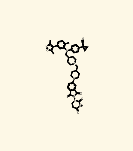 Cc1ccc(-c2c(C)noc2C)cc1N(CC1CCN(CC2CCN(c3ccc4c(c3)C(=O)N(N3CCC(=O)NC3=O)C4=O)CC2)CC1)c1ccc(C2(C#N)CC2)cc1